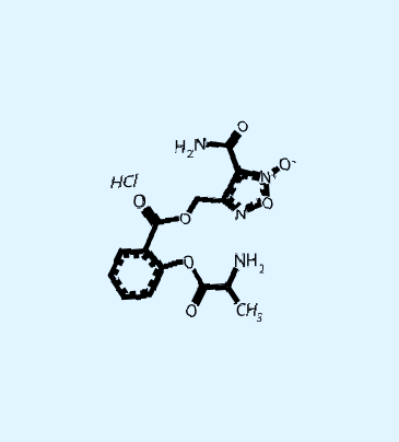 CC(N)C(=O)Oc1ccccc1C(=O)OCc1no[n+]([O-])c1C(N)=O.Cl